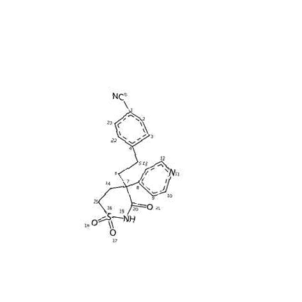 N#Cc1ccc(CCC2(c3ccncc3)CCS(=O)(=O)NC2=O)cc1